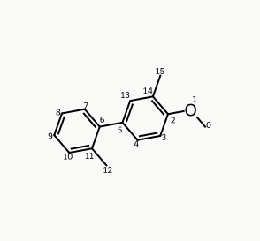 COc1ccc(-c2ccccc2C)cc1C